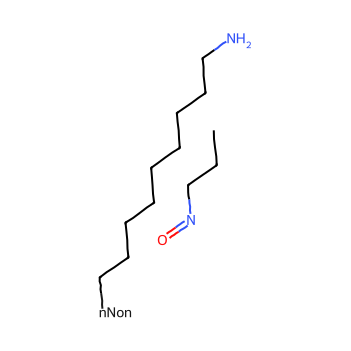 CCCCCCCCCCCCCCCCCCN.CCCN=O